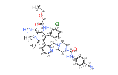 C=CN(C)/C(=C\N)C(NC(=O)COCC)C1=Cc2cccnc2C(N2CCN(C(=O)Nc3ccc(C#N)cc3)CC2)c2ccc(Cl)cc21